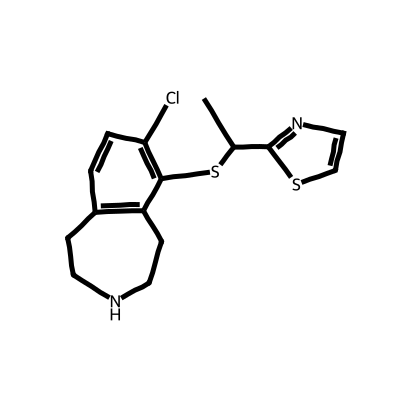 CC(Sc1c(Cl)ccc2c1CCNCC2)c1nccs1